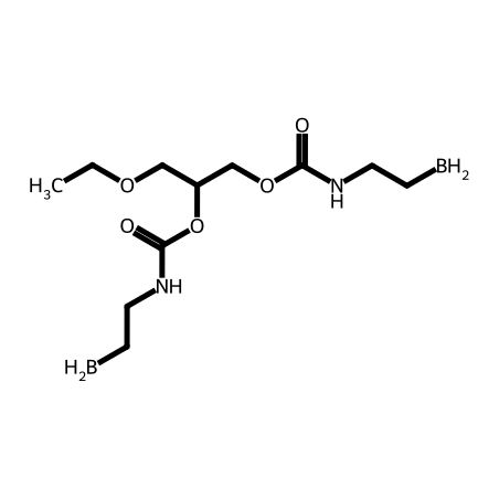 BCCNC(=O)OCC(COCC)OC(=O)NCCB